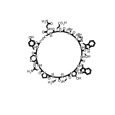 CCCC[C@H]1C(=O)N[C@@H](CCC(=O)O)C(=O)N[C@H](C(=O)NCC(N)=O)CSCC(=O)N[C@@H](Cc2ccc(O)cc2)C(=O)N2CCOC[C@H]2C(=O)N[C@@H](CC(N)=O)C(=O)N2CCC[C@H]2C(=O)N[C@@H](CN)C(=O)N[C@@H](CC(C)C)C(=O)N2C[C@H](O)C[C@H]2C(=O)N[C@@H](Cc2c[nH]c3ccccc23)C(=O)N[C@@H](CO)C(=O)N[C@@H](Cc2c[nH]c3ccccc23)c2nnnn2[C@@H](CCCC)C(=O)N1C